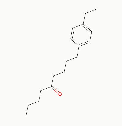 CCCCC(=O)CCCCc1ccc(CC)cc1